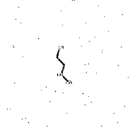 CC(C)NCCC#N